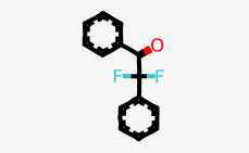 O=C(c1ccccc1)C(F)(F)c1ccccc1